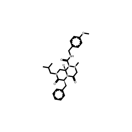 COc1ccc(CNC(=O)N2[C@H]3CN(CC(C)C)C(=O)[C@H](Cc4ccccc4)N3C(=O)CN2C)cc1